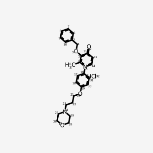 Cc1c(OCc2ccccc2)c(=O)ccn1-c1ccc(OCCCN2CCOCC2)cc1.Cl